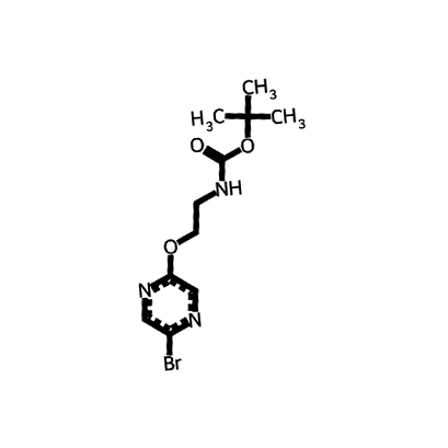 CC(C)(C)OC(=O)NCCOc1cnc(Br)cn1